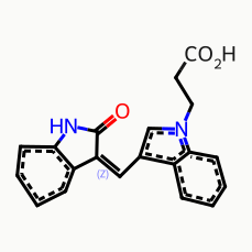 O=C(O)CCn1cc(/C=C2\C(=O)Nc3ccccc32)c2ccccc21